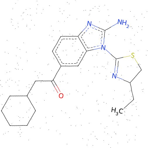 CCC1CSC(n2c(N)nc3ccc(C(=O)CC4CCCCC4)cc32)=N1